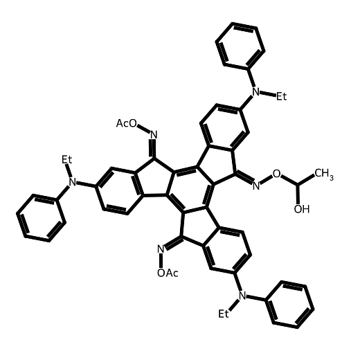 CCN(c1ccccc1)c1ccc2c(c1)/c(=N\OC(C)=O)c1c2c2/c(=N/OC(C)=O)c3cc(N(CC)c4ccccc4)ccc3c2c2/c(=N/OC(C)O)c3cc(N(CC)c4ccccc4)ccc3c12